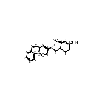 O=C1C=C(O)CCC1CSC1=Cc2ccc3c[c]ccc3c2OC1